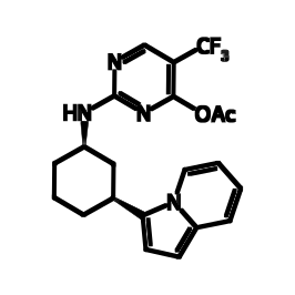 CC(=O)Oc1nc(N[C@@H]2CCC[C@H](c3ccc4ccccn34)C2)ncc1C(F)(F)F